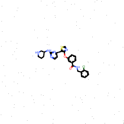 O=C(NCc1ccccc1Cl)c1cccc(Oc2ncsc2-c2ccnc(NC3CCCNC3)n2)c1